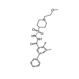 COCCN1CCC(S(=O)(=O)NNC(=O)c2cc(-c3ccccc3)cc(C)c2F)CC1